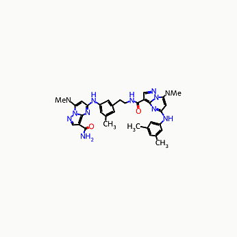 CNc1cc(Nc2cc(C)cc(CCNC(=O)c3cnn4c(NC)cc(Nc5cc(C)cc(C)c5)nc34)c2)nc2c(C(N)=O)cnn12